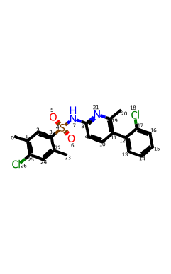 Cc1cc(S(=O)(=O)Nc2ccc(-c3ccccc3Cl)c(C)n2)c(C)cc1Cl